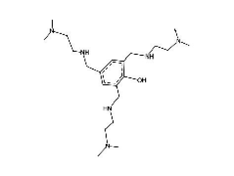 CN(C)CCNCc1cc(CNCCN(C)C)c(O)c(CNCCN(C)C)c1